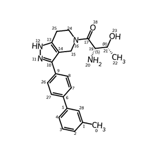 Cc1cccc(-c2ccc(-c3n[nH]c4c3CN(C(=O)[C@@H](N)[C@@H](C)O)CC4)cc2)c1